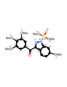 COc1ccc2c(C(=O)c3cc(OC)c(OC)c(OC)c3)nn(P(=O)(OC)OC)c2c1